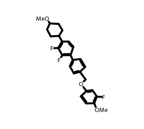 COc1ccc(OCc2ccc(-c3ccc(C4CCC(OC)CC4)c(F)c3F)cc2)cc1F